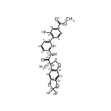 COC(=O)c1ccc(-c2cccc(NC(=O)[C@@]3(C)COc4cc5c(cc43)OC(F)(F)O5)n2)c(F)c1